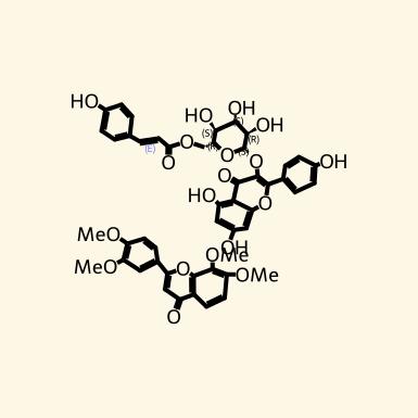 COc1ccc(-c2cc(=O)c3ccc(OC)c(OC)c3o2)cc1OC.O=C(/C=C/c1ccc(O)cc1)OC[C@H]1O[C@@H](Oc2c(-c3ccc(O)cc3)oc3cc(O)cc(O)c3c2=O)[C@H](O)[C@@H](O)[C@@H]1O